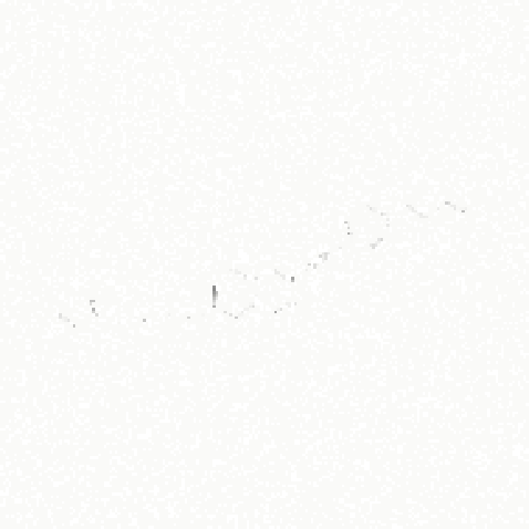 C=CC(=O)OCCCOc1ccc2cc(C#Cc3ccc(N=CC=S)cc3)ccc2c1